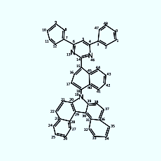 c1ccc(-c2cc(-c3ccccc3)nc(-c3ccc(-n4c5ccc6ccccc6c5c5c6ccccc6ccc54)c4ccccc34)n2)cc1